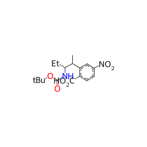 CCC(NC(=O)OC(C)(C)C)C(C)c1cc([N+](=O)[O-])ccc1C(=O)O